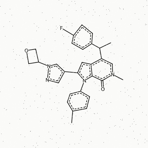 Cc1ccc(-n2c(-c3cnn(C4COC4)c3)cc3c(C(C)c4ccc(F)cc4)cn(C)c(=O)c32)cc1